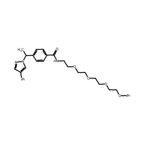 CC(C)OCCOCCOCCOCCNC(=O)c1ccc(C(C)n2cc(C(C)C)cn2)cc1